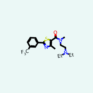 CCN(CC)CCN(C)C(=O)c1sc(-c2cccc(C(F)(F)F)c2)nc1C